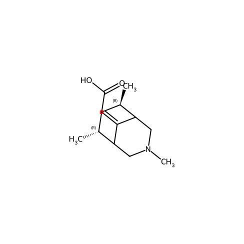 C[C@@H]1C[C@@H](C)C2CN(C)CC1C2=CC(=O)O